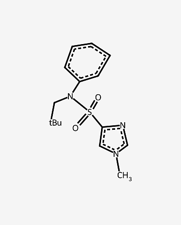 Cn1cnc(S(=O)(=O)N(CC(C)(C)C)c2ccccc2)c1